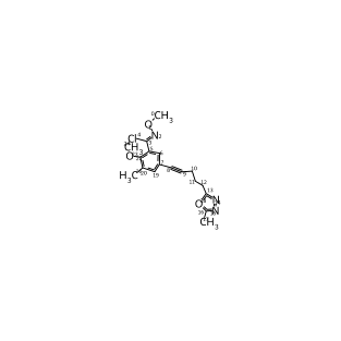 CON=C(Cl)c1cc(C#CCCCc2nnc(C)o2)cc(C)c1OC